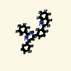 c1ccc(-c2cc(-c3cccc(-c4ccc5ccccc5n4)c3)nc(-c3ccccc3)n2)cc1